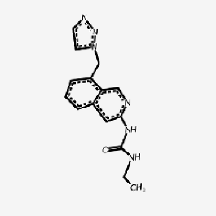 CCNC(=O)Nc1cc2cccc(Cn3ccnn3)c2cn1